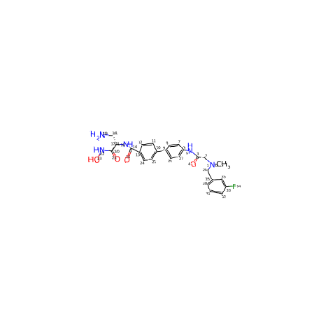 CN(CC(=O)Nc1ccc(-c2ccc(C(=O)N[C@@H](CN)C(=O)NO)cc2)cc1)Cc1cccc(F)c1